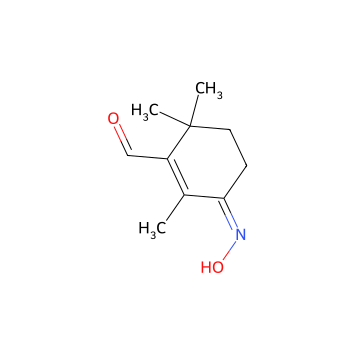 CC1=C(C=O)C(C)(C)CC/C1=N/O